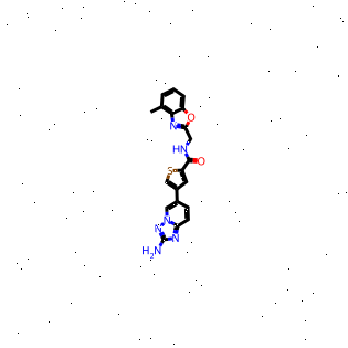 Cc1cccc2oc(CNC(=O)c3cc(-c4ccc5nc(N)nn5c4)cs3)nc12